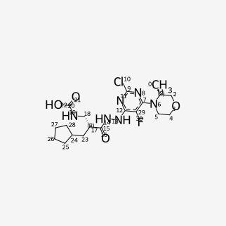 C[C@H]1COCCN1c1nc(Cl)nc(NNC(=O)[C@@H](CNC(=O)O)CC2CCCC2)c1F